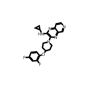 Fc1ccc(OC2CCN(c3nc4cnccc4nc3NC3CC3)CC2)c(F)c1